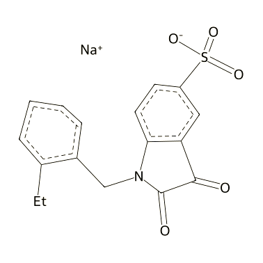 CCc1ccccc1CN1C(=O)C(=O)c2cc(S(=O)(=O)[O-])ccc21.[Na+]